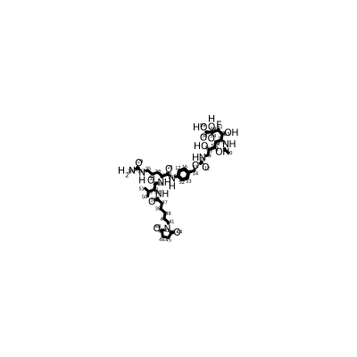 CCN[C@H]1[C@H]([C@H](O)[C@H](O)CNC(=O)OCc2ccc(NC(=O)C(CCCNC(N)=O)NC(=O)C(NC(=O)CCCCCN3C(=O)CCC3=O)C(C)C)cc2)OC(O)(C(=O)O)C(F)[C@@H]1O